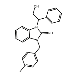 Cc1ccc(Cn2c(=N)n(C(CO)c3ccccc3)c3ccccc32)cc1